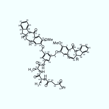 COc1cc2c(cc1OCc1cc(COc3cc4c(cc3OC)C(=O)N3c5ccccc5C[C@H]3CN4)cc(NC(=O)[C@H](C)NC(=O)[C@H](C)NC(=O)CCC(=O)C(C)C)c1)N=C[C@@H]1Cc3ccccc3N1C2=O